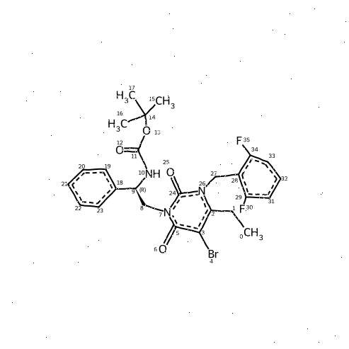 CCc1c(Br)c(=O)n(C[C@H](NC(=O)OC(C)(C)C)c2ccccc2)c(=O)n1Cc1c(F)cccc1F